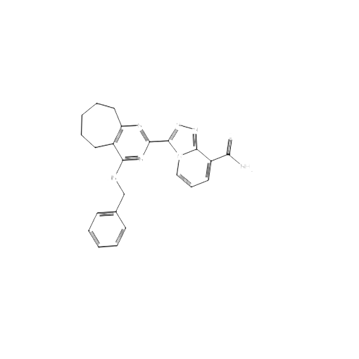 NC(=O)c1cccn2c(-c3nc4c(c(NCc5ccccc5)n3)CCCCC4)nnc12